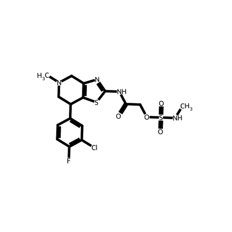 CNS(=O)(=O)OCC(=O)Nc1nc2c(s1)C(c1ccc(F)c(Cl)c1)CN(C)C2